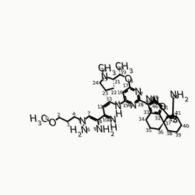 COCCCN(N)/C=C(\N)C(=N)/C=C\Nc1cc(O[C@@H](C)[C@@H]2CCCN2C)nc(-c2noc3c2CCC[C@@]32CCCc3sc(N)c(C#N)c32)n1